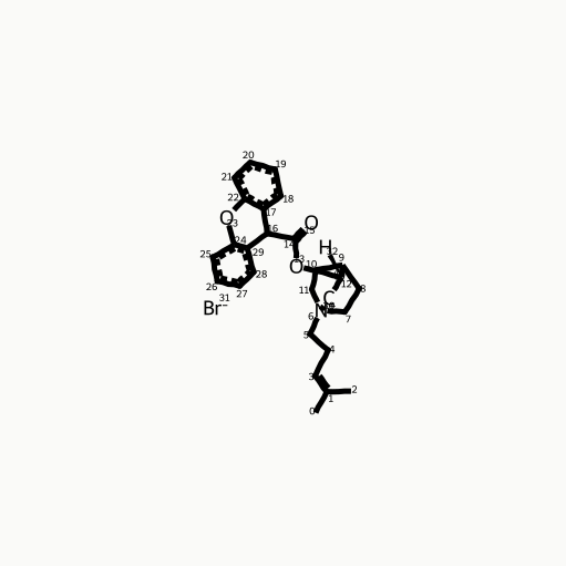 CC(C)=CCC[N+]12CCC(CC1)[C@@H](OC(=O)C1c3ccccc3Oc3ccccc31)C2.[Br-]